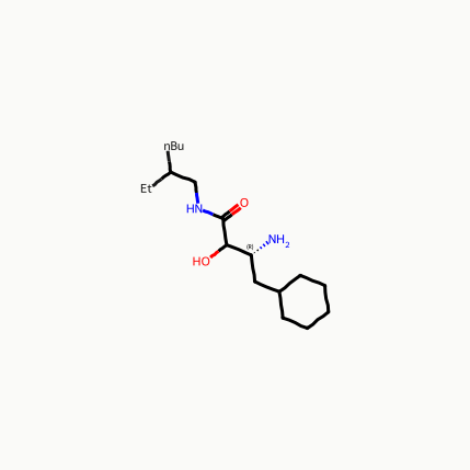 CCCCC(CC)CNC(=O)C(O)[C@H](N)CC1CCCCC1